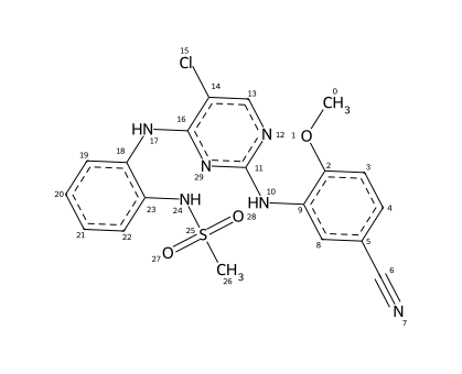 COc1ccc(C#N)cc1Nc1ncc(Cl)c(Nc2ccccc2NS(C)(=O)=O)n1